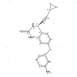 Nc1cccc(Cc2ccc3c(c2)NC(=O)N[C@H]3C#CC2CC2)n1